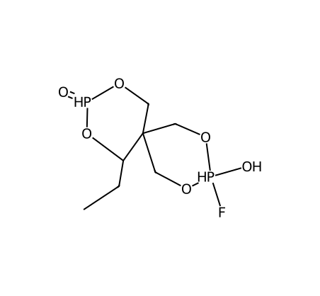 CCC1O[PH](=O)OCC12CO[PH](O)(F)OC2